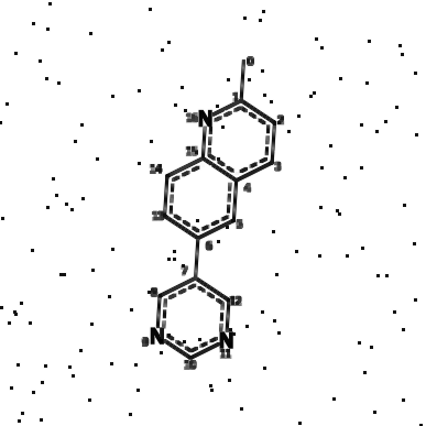 Cc1ccc2cc(-c3cncnc3)ccc2n1